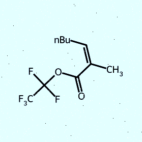 CCCCC=C(C)C(=O)OC(F)(F)C(F)(F)F